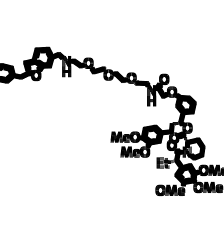 CC[C@H](C(=O)N1CCCC[C@H]1C(=O)O[C@H](CCc1ccc(OC)c(OC)c1)c1cccc(OCC(=O)NCCOCCOCCOCCNCc2ccc3cc(Cc4ccccc4)oc3c2)c1)c1cc(OC)c(OC)c(OC)c1